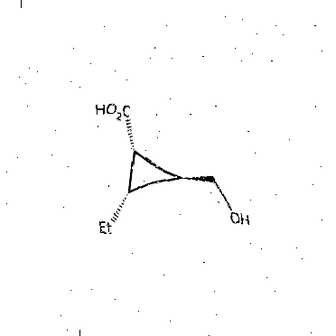 CC[C@H]1[C@H](CO)[C@H]1C(=O)O